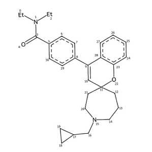 CCN(CC)C(=O)c1ccc(C2=CC3(CCCN(CC4CC4)CC3)Oc3ccccc32)cc1